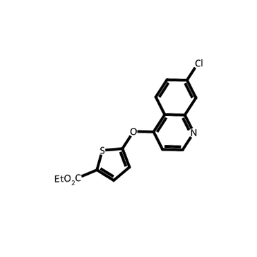 CCOC(=O)c1ccc(Oc2ccnc3cc(Cl)ccc23)s1